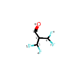 O=CC(C(F)F)C(F)F